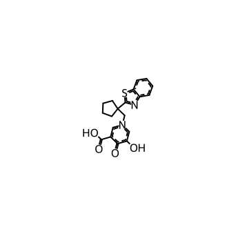 O=C(O)c1cn(CC2(c3nc4ccccc4s3)CCCC2)cc(O)c1=O